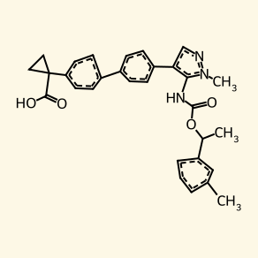 Cc1cccc(C(C)OC(=O)Nc2c(-c3ccc(-c4ccc(C5(C(=O)O)CC5)cc4)cc3)cnn2C)c1